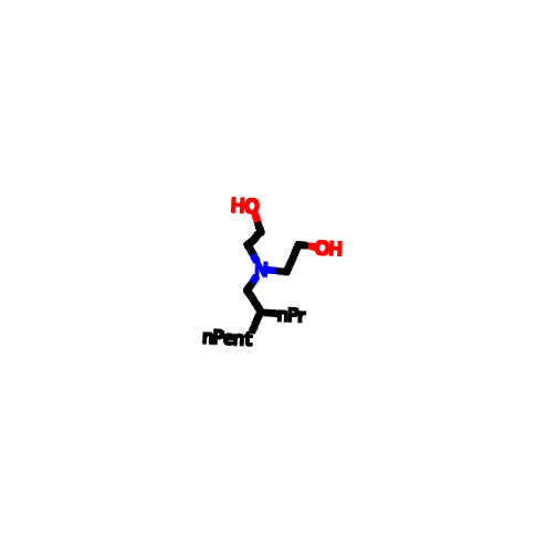 CCCCCC(CCC)CN(CCO)CCO